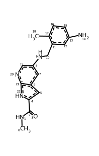 CNC(=O)c1cc2cc(NCc3cc(N)ccc3C)cnc2[nH]1